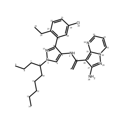 C=C(Nc1cn(C(CCC)CCCCC)nc1-c1cc(Cl)ccc1CC)c1c(N)nn2cccnc12